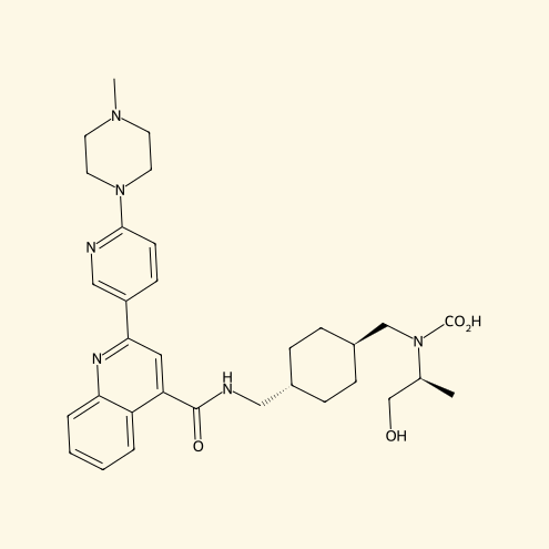 C[C@@H](CO)N(C[C@H]1CC[C@H](CNC(=O)c2cc(-c3ccc(N4CCN(C)CC4)nc3)nc3ccccc23)CC1)C(=O)O